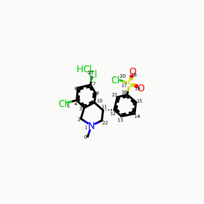 CN1Cc2c(Cl)cc(Cl)cc2[C@H](c2cccc(S(=O)(=O)Cl)c2)C1.Cl